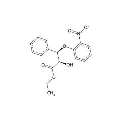 CCOC(=O)[C@H](O)[C@H](Oc1ccccc1[N+](=O)[O-])c1ccccc1